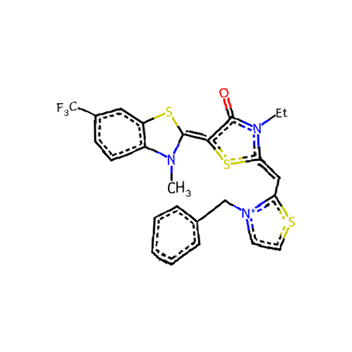 CCn1c(=O)/c(=C2\Sc3cc(C(F)(F)F)ccc3N2C)s/c1=C\c1scc[n+]1Cc1ccccc1